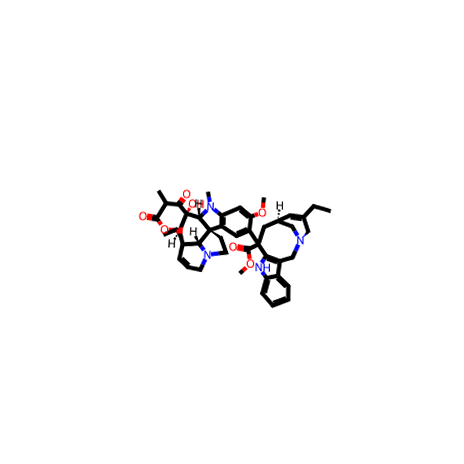 CCC1=C[C@H]2C[N@@](C1)Cc1c([nH]c3ccccc13)C(C(=O)OC)(c1cc3c(cc1OC)N(C)[C@H]1[C@@]4(O)C(=O)C(C)C(=O)O[C@@H]4[C@@]4(CC)C=CCN5CC[C@]31[C@H]54)C2